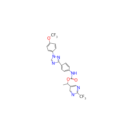 CC(OC(=O)Nc1ccc(-c2ncn(-c3ccc(OC(F)(F)F)cc3)n2)cc1)c1cnc(C(F)(F)F)nc1